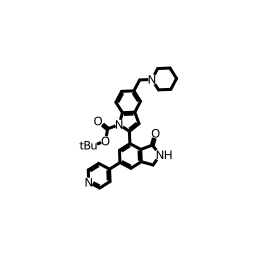 CC(C)(C)OC(=O)n1c(-c2cc(-c3ccncc3)cc3c2C(=O)NC3)cc2cc(CN3CCCCC3)ccc21